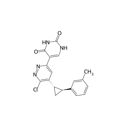 Cc1cccc([C@H]2C[C@@H]2c2cc(-c3c[nH]c(=O)[nH]c3=O)nnc2Cl)c1